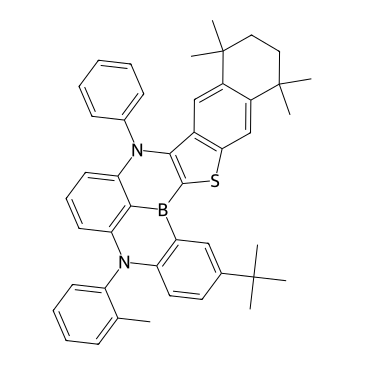 Cc1ccccc1N1c2ccc(C(C)(C)C)cc2B2c3sc4cc5c(cc4c3N(c3ccccc3)c3cccc1c32)C(C)(C)CCC5(C)C